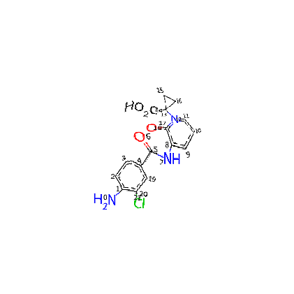 Nc1ccc(C(=O)Nc2cccn(C3(C(=O)O)CC3)c2=O)cc1Cl